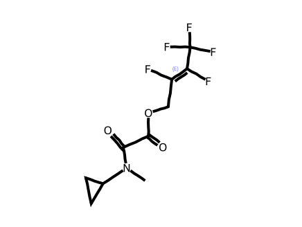 CN(C(=O)C(=O)OC/C(F)=C(\F)C(F)(F)F)C1CC1